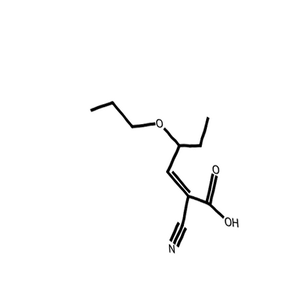 CCCOC(C=C(C#N)C(=O)O)CC